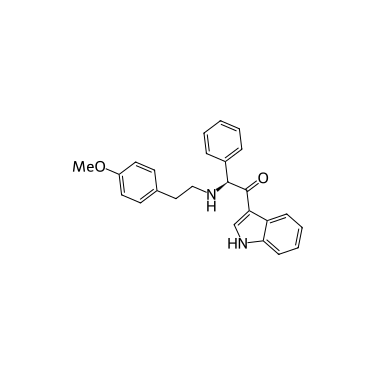 COc1ccc(CCN[C@H](C(=O)c2c[nH]c3ccccc23)c2ccccc2)cc1